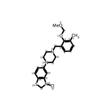 COCOc1c(C)cccc1CN1CCN(c2ccc3c(c2)N(Cl)CS3)CC1